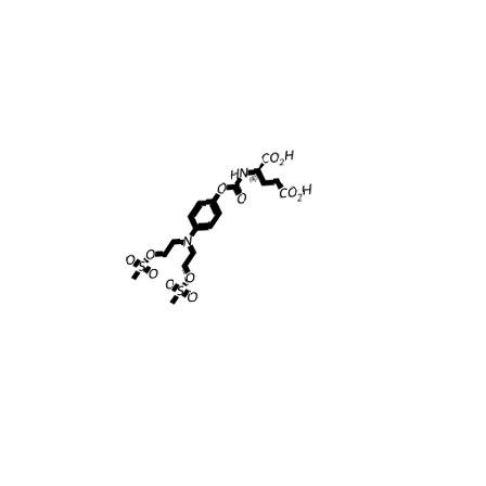 CS(=O)(=O)OCCN(CCOS(C)(=O)=O)c1ccc(OC(=O)N[C@H](CCC(=O)O)C(=O)O)cc1